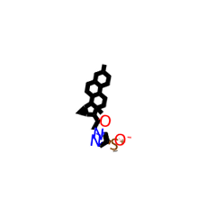 CC1CCC2C(CCC3C2CCC2(C)C(C(=O)Cn4cc([S+](C)[O-])cn4)C4CC4C32)C1